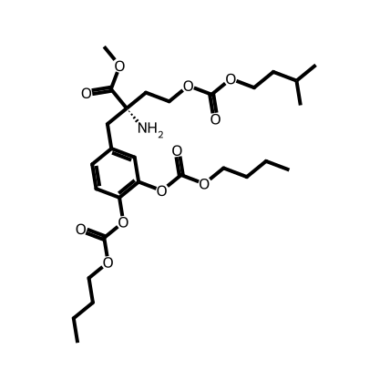 CCCCOC(=O)Oc1ccc(C[C@](N)(CCOC(=O)OCCC(C)C)C(=O)OC)cc1OC(=O)OCCCC